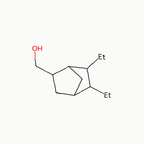 CCC1C2CC(CO)C(C2)C1CC